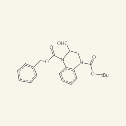 CC(C)(C)OC(=O)N1CC(C=O)N(C(=O)OCc2ccccc2)c2ccccc21